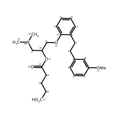 COc1cccc(CCc2ccccc2OCC(CN(C)C)OC(=O)CCCC(=O)O)c1